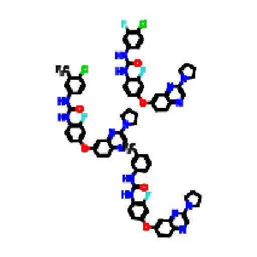 O=C(Nc1ccc(Cl)c(C(F)(F)F)c1)Nc1ccc(Oc2ccc3ncc(N4CCCC4)nc3c2)cc1F.O=C(Nc1ccc(Cl)c(F)c1)Nc1ccc(Oc2ccc3ncc(N4CCCC4)nc3c2)cc1F.O=C(Nc1cccc(C(F)(F)F)c1)Nc1ccc(Oc2ccc3ncc(N4CCCC4)nc3c2)cc1F